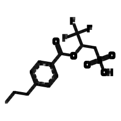 CCCc1ccc(C(=O)OC(CS(=O)(=O)O)C(F)(F)F)cc1